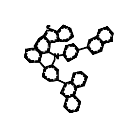 c1ccc(-c2ccc(-c3cc4ccccc4c4ccccc34)cc2N(c2ccc(-c3ccc4ccccc4c3)cc2)c2cccc3sc4ccccc4c23)cc1